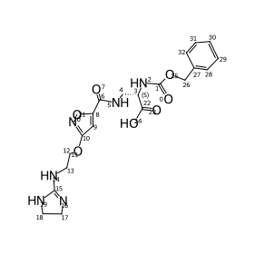 O=C(N[C@@H](CNC(=O)c1cc(OCCNC2=NCCN2)no1)C(=O)O)OCc1ccccc1